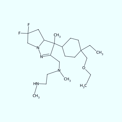 CCOCC1(CC)CCC(C2(C)C(CN(C)CCNC)=NN3CC(F)(F)CC32)CC1